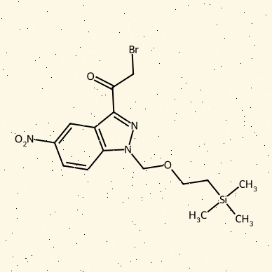 C[Si](C)(C)CCOCn1nc(C(=O)CBr)c2cc([N+](=O)[O-])ccc21